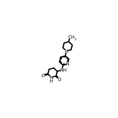 CC1CCN(c2ccc(NC3CCC(=O)NC3=O)nc2)CC1